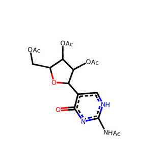 CC(=O)Nc1nc(=O)c(C2OC(COC(C)=O)C(OC(C)=O)C2OC(C)=O)c[nH]1